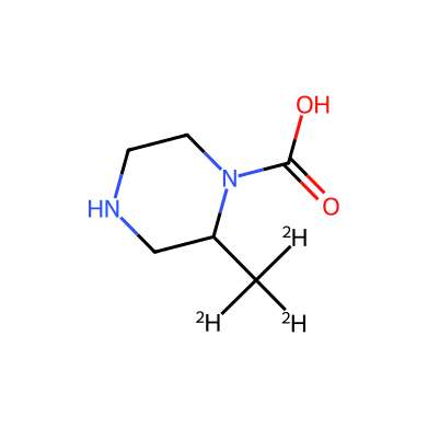 [2H]C([2H])([2H])C1CNCCN1C(=O)O